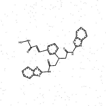 O=C(C=Cc1cccc(N(CC(=O)Nc2nc3ccccc3s2)CC(=O)Nc2nc3ccccc3s2)c1)NO